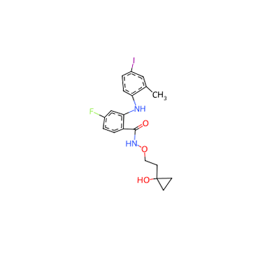 Cc1cc(I)ccc1Nc1cc(F)ccc1C(=O)NOCCC1(O)CC1